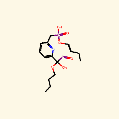 CCCCOC(O)(P=O)c1cccc(CP(=O)(O)OCCCC)n1